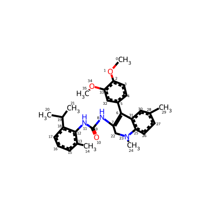 COc1ccc(C2=C(NC(=O)Nc3c(C)cccc3C(C)C)CN(C)c3ccc(C)cc32)cc1OC